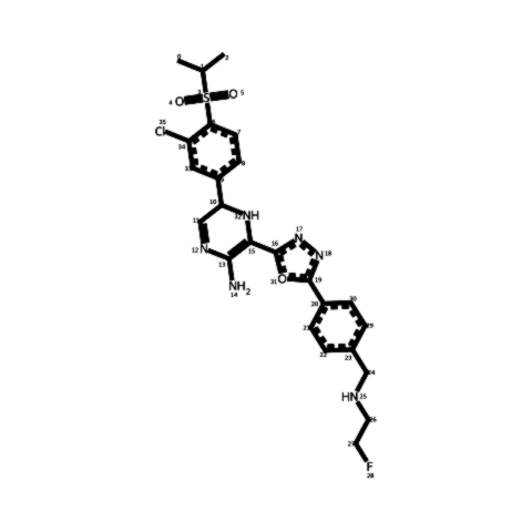 CC(C)S(=O)(=O)c1ccc(C2C=NC(N)=C(c3nnc(-c4ccc(CNCCF)cc4)o3)N2)cc1Cl